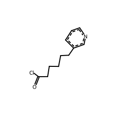 O=C(Cl)CCCCCc1cccnc1